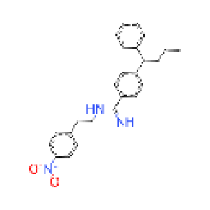 C=C/C=C(\c1ccccc1)c1ccc(C(=N)N/C=C/c2ccc([N+](=O)[O-])cc2)cc1